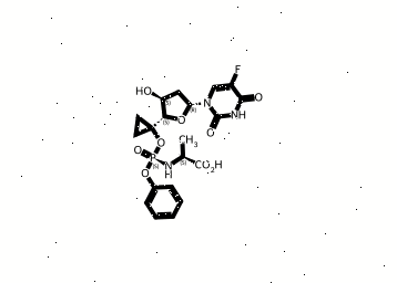 C[C@H](N[P@](=O)(Oc1ccccc1)OC1([C@H]2O[C@@H](n3cc(F)c(=O)[nH]c3=O)C[C@@H]2O)CC1)C(=O)O